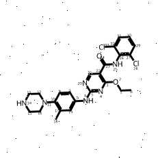 CCOc1nc(Nc2ccc(N3CCNCC3)c(C)c2)ncc1C(=O)Nc1c(Cl)cccc1Cl